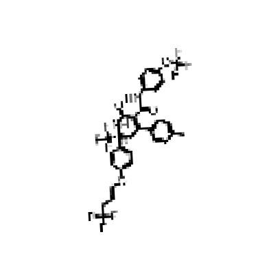 Cc1ccc(C2=C(C(=O)Nc3ccc(OC(F)(F)F)cc3)C(=O)N[C@@](c3ccc(OCCCC(F)(F)F)cc3)(C(F)(F)F)C2)cc1